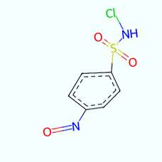 O=Nc1ccc(S(=O)(=O)NCl)cc1